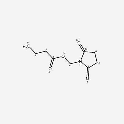 CCCC(=O)OCN1C(=O)CCC1=O